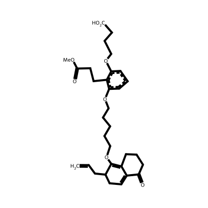 C=CCC1CC=C2C(=O)CCCC2=C1OCCCCCOc1cccc(OCCCC(=O)O)c1CCC(=O)OC